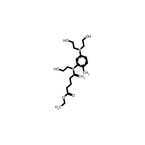 C=C(CCCC(=O)OCC)N(CCO)c1cc(N(CCO)CCO)ccc1C